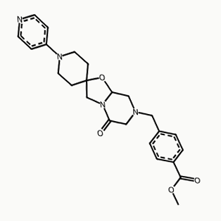 COC(=O)c1ccc(CN2CC(=O)N3CC4(CCN(c5ccncc5)CC4)OC3C2)cc1